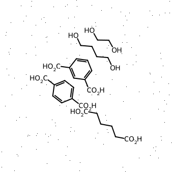 O=C(O)CCCCC(=O)O.O=C(O)c1ccc(C(=O)O)cc1.O=C(O)c1cccc(C(=O)O)c1.OCCCCO.OCCO